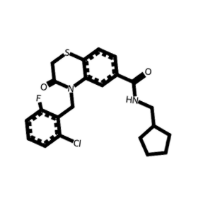 O=C(NCC1CCCC1)c1ccc2c(c1)N(Cc1c(F)cccc1Cl)C(=O)CS2